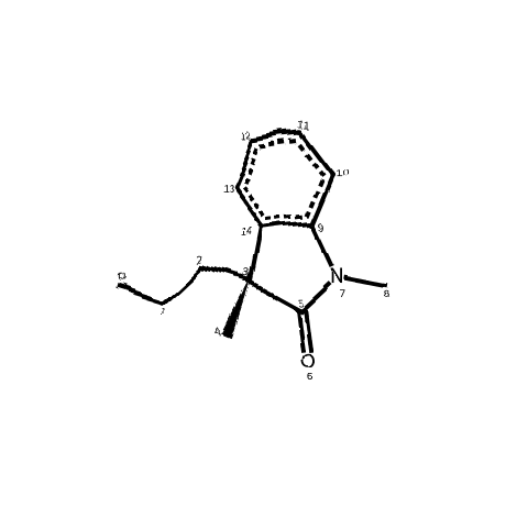 CCC[C@@]1(C)C(=O)N(C)c2ccccc21